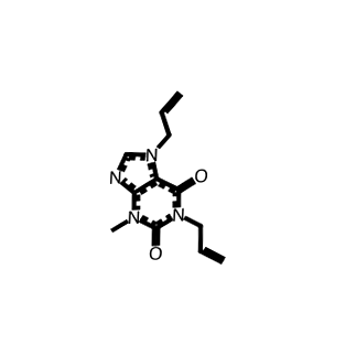 C=CCn1c(=O)c2c(ncn2CC=C)n(C)c1=O